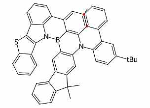 Cc1cc2c3c(c1)N(c1ccc(C(C)(C)C)cc1-c1ccccc1)c1cc4c(cc1B3n1c3c-2cccc3c2sc3ccccc3c21)-c1ccccc1C4(C)C